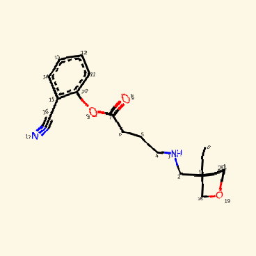 CC1(CNCCCC(=O)Oc2ccccc2C#N)COC1